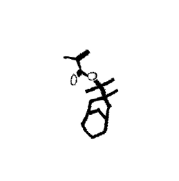 C=C(C)C(=O)OC(C)(C)C1(C)CC2CCCC(C2)C1